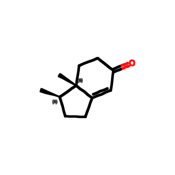 C[C@@H]1CCC2=CC(=O)CC[C@]21C